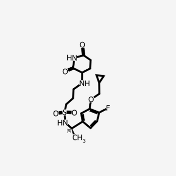 C[C@@H](NS(=O)(=O)CCCNC1CCC(=O)NC1=O)c1ccc(F)c(OCC2CC2)c1